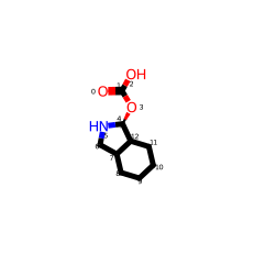 O=C(O)O[C@@H]1NCC2CCCCC21